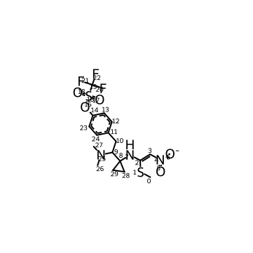 CSC(=C[N+](=O)[O-])NC1(C(Cc2ccc(OS(=O)(=O)C(F)(F)F)cc2)N(C)C)CC1